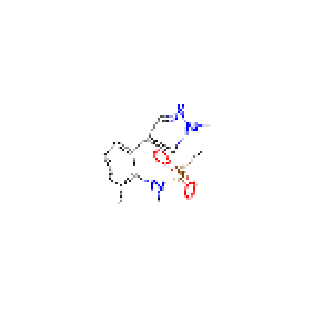 Cc1cccc(-c2cnn(C)c2)c1N(C)S(C)(=O)=O